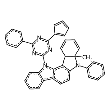 CC12C=CC=CC1c1c(ccc3c4ccccc4n(-c4nc(C5=CC=C=C5)nc(-c5ccccc5)n4)c13)N2c1ccccc1